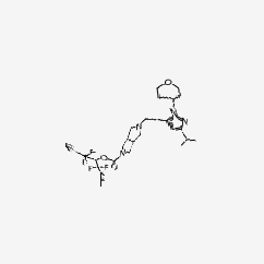 CC(C)c1cc(CN2CC3CN(C(=O)OC(C(F)(F)F)C(F)(F)F)CC3C2)n(C2CCOCC2)n1